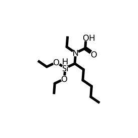 CCCCCC(N(CC)C(=O)O)[SiH](OCC)OCC